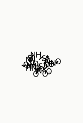 CCON=C(C(=O)N[C@@H]1C(=O)N2CC(CN3C=C4N(C=C[S+]4CC)C3ONC=O)(C(=O)[O-])CS[C@H]12)c1nsc(N)n1